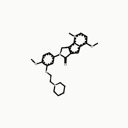 COc1ccc(N2Cc3c(cc4c(OC)ccn(C)c3-4)C2=O)cc1OCCN1CCCCC1